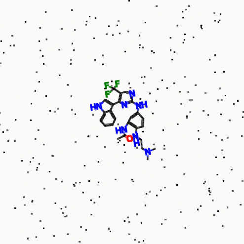 CC(=O)Nc1cc(Nc2ncc(C(F)(F)F)c(-c3c[nH]c4ccccc34)n2)ccc1NCCN(C)C